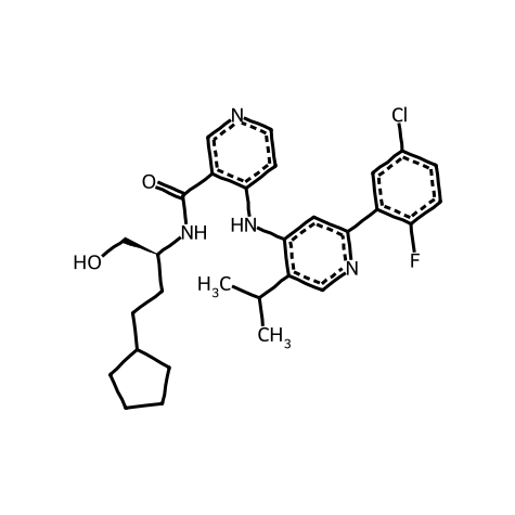 CC(C)c1cnc(-c2cc(Cl)ccc2F)cc1Nc1ccncc1C(=O)N[C@H](CO)CCC1CCCC1